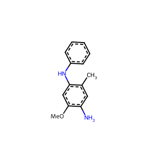 COc1cc(Nc2ccccc2)c(C)cc1N